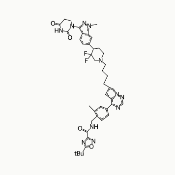 Cc1cc(-c2ncnn3cc(CCCCN4CCC(c5ccc6c(N7CCC(=O)NC7=O)nn(C)c6c5)C(F)(F)C4)cc23)ccc1CNC(=O)c1noc(C(C)(C)C)n1